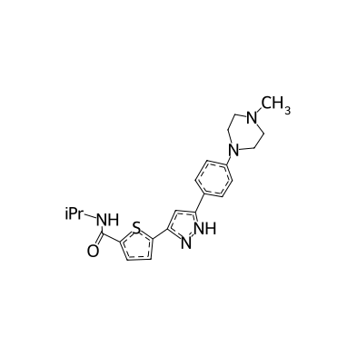 CC(C)NC(=O)c1ccc(-c2cc(-c3ccc(N4CCN(C)CC4)cc3)[nH]n2)s1